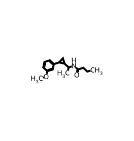 CCCC(=O)NC(C)C1CC1c1cccc(OC)c1